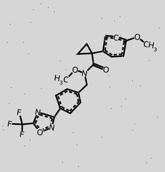 COc1ccc(C2(C(=O)N(Cc3ccc(-c4noc(C(F)(F)F)n4)cc3)OC)CC2)cc1